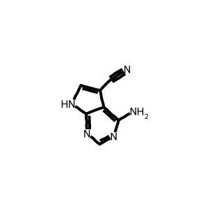 N#Cc1c[nH]c2ncnc(N)c12